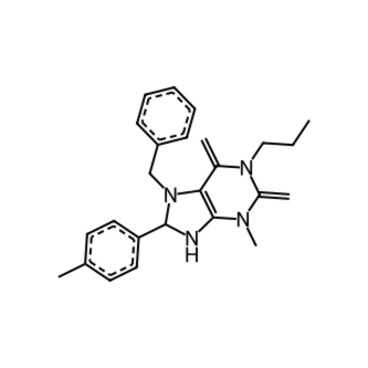 C=C1C2=C(NC(c3ccc(C)cc3)N2Cc2ccccc2)N(C)C(=C)N1CCC